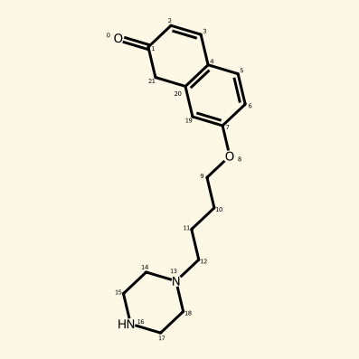 O=C1C=Cc2ccc(OCCCCN3CCNCC3)cc2C1